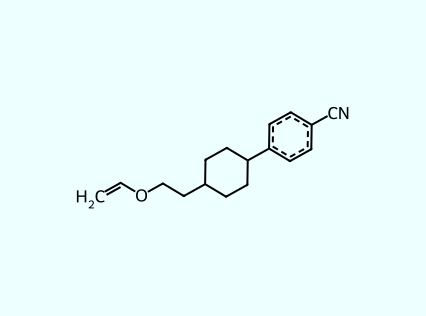 C=COCCC1CCC(c2ccc(C#N)cc2)CC1